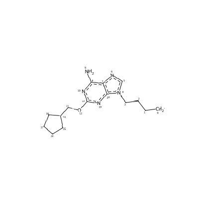 [CH2]CCCn1cnc2c(N)nc(OCC3CCCC3)nc21